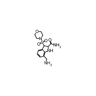 NCc1cccc2c1NC(C(N)=O)C2S(=O)(=O)N1CCOCC1